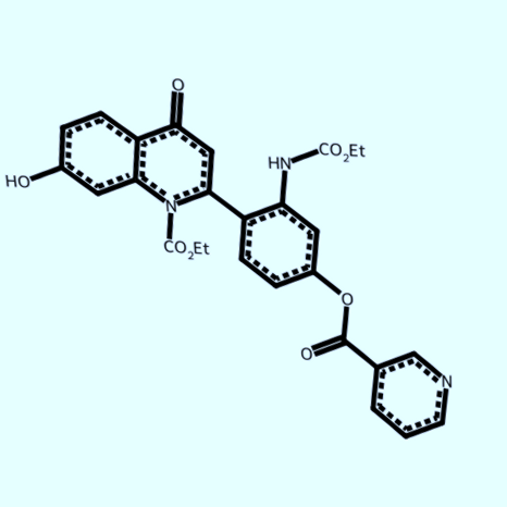 CCOC(=O)Nc1cc(OC(=O)c2cccnc2)ccc1-c1cc(=O)c2ccc(O)cc2n1C(=O)OCC